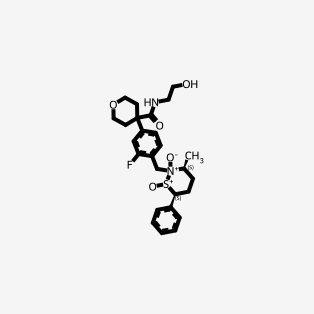 C[C@H]1CC[C@@H](c2ccccc2)[S+]([O-])[N+]1([O-])Cc1ccc(C2(C(=O)NCCO)CCOCC2)cc1F